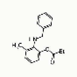 CCC(=O)Oc1cccc(C)c1NCc1ccccc1